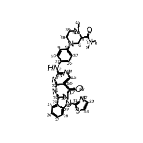 CN(C)C(=O)C1CN(c2ccc(Nc3ncc4c(=O)n5c(nc4n3)c3ccccc3n5-c3nccs3)cc2)CCN1C